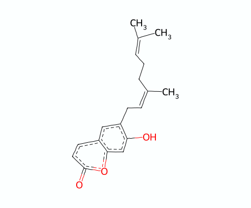 CC(C)=CCCC(C)=CCc1cc2ccc(=O)oc2cc1O